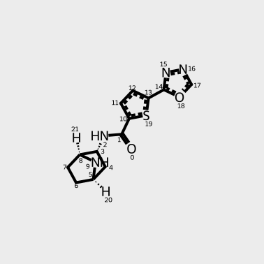 O=C(N[C@@H]1C[C@H]2CC[C@@H]1N2)c1ccc(-c2nnco2)s1